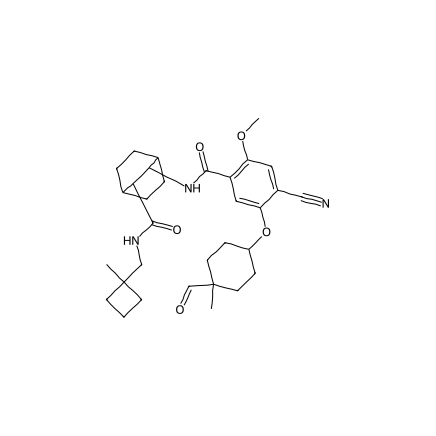 COc1cc(C#N)c(OC2CCC(C)(C=O)CC2)cc1C(=O)NC1C2CCC(CC2)C1C(=O)NCC1(C)CCC1